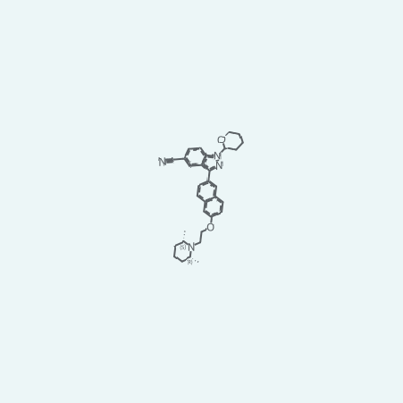 C[C@@H]1CCC[C@H](C)N1CCOc1ccc2cc(-c3nn(C4CCCCO4)c4ccc(C#N)cc34)ccc2c1